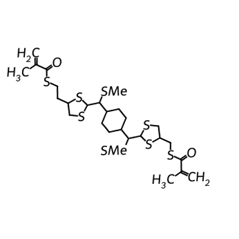 C=C(C)C(=O)SCCC1CSC(C(SC)C2CCC(C(SC)C3SCC(CSC(=O)C(=C)C)S3)CC2)S1